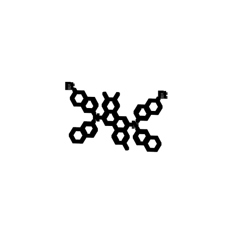 CCC1CCc2cc(N(c3ccc4c(c3)CCCC4)c3cc4c5cc(C)c(C)cc5c(N(c5ccc6c(c5)CCCC6)c5ccc6c(c5)CCC(CC)C6)cc4c4ccc(C)cc34)ccc2C1